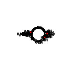 CC1/C=C/C=C/C=C/C=C/C=C/C=C/C=C/C(O[C@@H]2O[C@H](C)[C@@H](O)[C@H](N)[C@@H]2O)CC2OC(O)(CC(O)CCCC(O)CC(=O)CCCC(=O)CC(=O)OC1C(C)CC(C)C(O)CC(=O)c1ccc(N)cc1)CC(O)C2C(=O)O